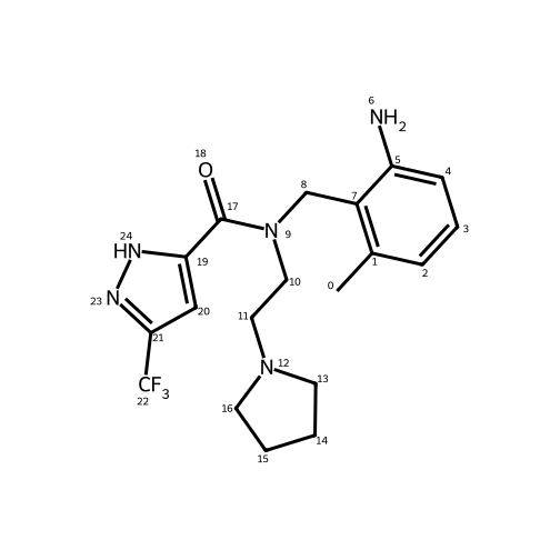 Cc1cccc(N)c1CN(CCN1CCCC1)C(=O)c1cc(C(F)(F)F)n[nH]1